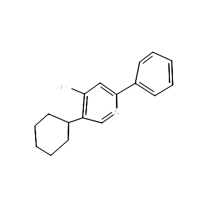 Cc1cc(-c2ccccc2)ncc1C1CCCCC1